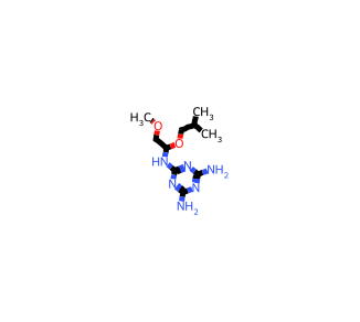 COCC(Nc1nc(N)nc(N)n1)OCC(C)C